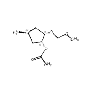 COCO[C@H]1C[C@H](N)C[C@H]1OC(N)=O